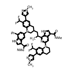 CNC(=O)c1c[nH]c2c(C(C)C)cc(N3CC(CC(C)c4nc(N5CCCc6cc(-c7cnn(C)c7)c(C(F)F)cc65)cc5c(C(=O)NC)c[nH]c45)Cc4cc(-c5cnn(C)c5)c(C(F)F)cc43)cc12